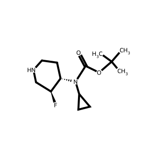 CC(C)(C)OC(=O)N(C1CC1)[C@H]1CCNC[C@@H]1F